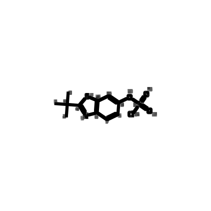 CC(C)(C)c1nc2ccc(OS(=O)(=O)Cl)cc2s1